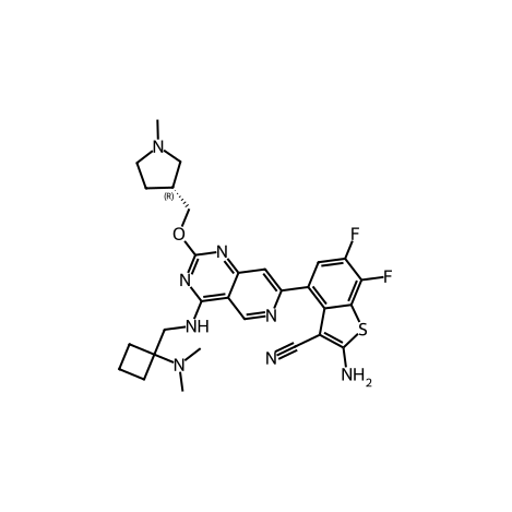 CN1CC[C@@H](COc2nc(NCC3(N(C)C)CCC3)c3cnc(-c4cc(F)c(F)c5sc(N)c(C#N)c45)cc3n2)C1